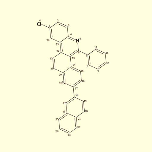 Clc1ccc2nc(-c3ccccc3)c3c4ccc(-c5ccc6ccccc6c5)nc4ccc3c2c1